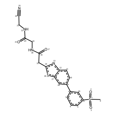 CS(=O)(=O)c1cccc(-c2ccc3nc(CC(=O)NCC(=O)NCC#N)sc3c2)c1